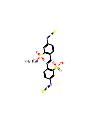 O=S(=O)(O)c1cc(N=C=S)ccc1C=Cc1ccc(N=C=S)cc1S(=O)(=O)O.[NaH].[NaH]